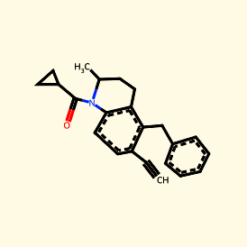 C#Cc1ccc2c(c1Cc1ccccc1)CCC(C)N2C(=O)C1CC1